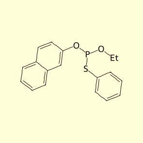 CCOP(Oc1ccc2ccccc2c1)Sc1ccccc1